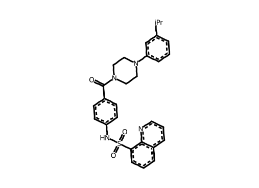 CC(C)c1cccc(N2CCN(C(=O)c3ccc(NS(=O)(=O)c4cccc5cccnc45)cc3)CC2)c1